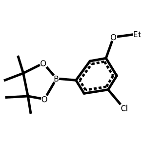 CCOc1cc(Cl)cc(B2OC(C)(C)C(C)(C)O2)c1